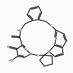 C=C1NCc2ccccc2CCc2ccc3ccn(c3n2)C2(CCCC2)Cn2cc(O)c(=O)c1n2